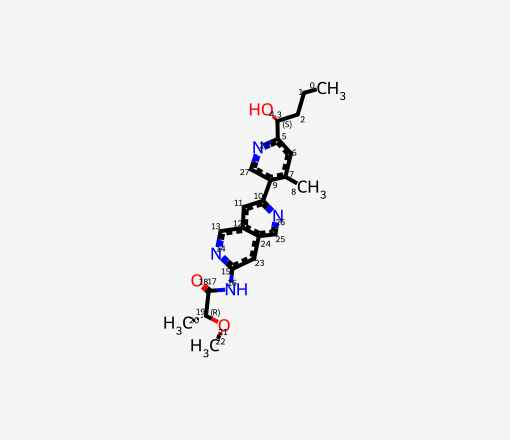 CCC[C@H](O)c1cc(C)c(-c2cc3cnc(NC(=O)[C@@H](C)OC)cc3cn2)cn1